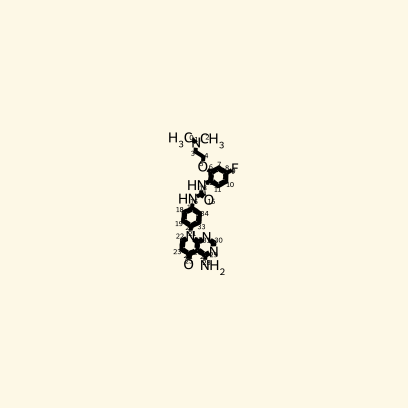 CN(C)CCOc1cc(F)ccc1NC(=O)Nc1ccc(-n2ccc(=O)c3c(N)ncnc32)cc1